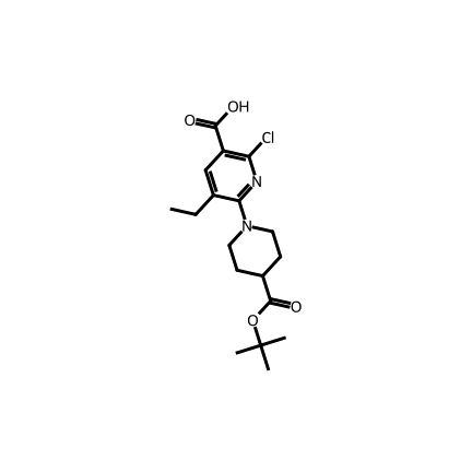 CCc1cc(C(=O)O)c(Cl)nc1N1CCC(C(=O)OC(C)(C)C)CC1